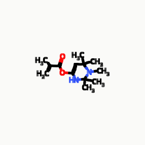 C=C(C)C(=O)OC1=CC(C)(C)N(C)C(C)(C)N1